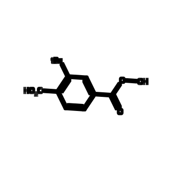 CC(C)(C)c1cc(C(=O)OO)ccc1C(=O)O